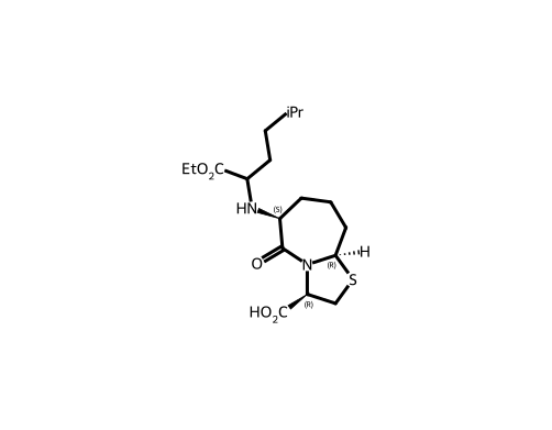 CCOC(=O)C(CCC(C)C)N[C@H]1CCC[C@H]2SC[C@@H](C(=O)O)N2C1=O